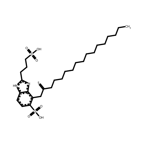 CCCCCCCCCCCCCCCC(=S)Cc1c(S(=O)(=O)O)ccc2[nH]c(CCCS(=O)(=O)O)nc12